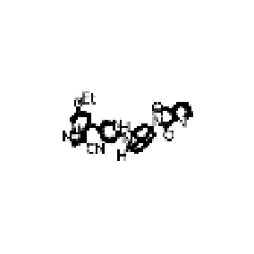 CCOc1cc(-c2ccc(N3[C@@H]4CC5C[C@H]3CC(NC(=O)c3ncccc3Cl)(C5)C4)nc2)c2c(C#N)cnn2c1